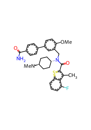 CN[C@H]1CC[C@H](N(Cc2cc(-c3ccc(C(N)=O)cc3)ccc2OC)C(=O)c2sc3cccc(F)c3c2C)CC1